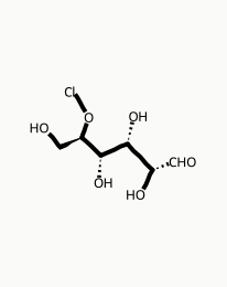 O=C[C@H](O)[C@@H](O)[C@H](O)[C@@H](CO)OCl